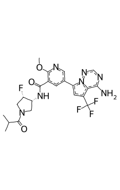 COc1ncc(-c2cc(C(F)(F)F)c3c(N)ncnn23)cc1C(=O)N[C@@H]1CN(C(=O)C(C)C)C[C@@H]1F